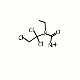 CCN(C([NH])=O)C(Cl)(Cl)CCl